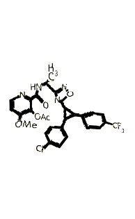 COc1ccnc(C(=O)N[C@@H](C)c2noc(C3C(c4ccc(Cl)cc4)C3c3ccc(C(F)(F)F)cc3)n2)c1OC(C)=O